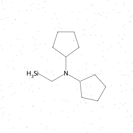 [SiH3]CN(C1CCCC1)C1CCCC1